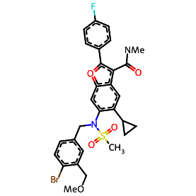 CNC(=O)c1c(-c2ccc(F)cc2)oc2cc(N(Cc3ccc(Br)c(COC)c3)S(C)(=O)=O)c(C3CC3)cc12